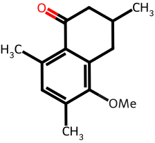 COc1c(C)cc(C)c2c1CC(C)CC2=O